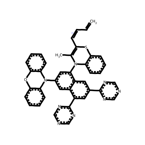 C=C/C=C\C1=C(C)N(c2cc(N3c4ccccc4Oc4ccccc43)cc3c(-c4ncncn4)cc(-c4ncncn4)cc23)c2ccccc2S1